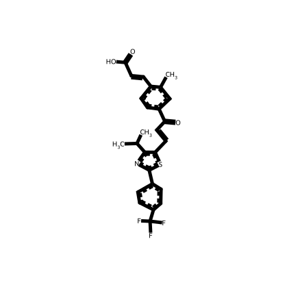 Cc1cc(C(=O)C=Cc2sc(-c3ccc(C(F)(F)F)cc3)nc2C(C)C)ccc1C=CC(=O)O